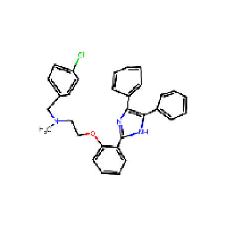 CN(CCOc1ccccc1-c1nc(-c2ccccc2)c(-c2ccccc2)[nH]1)Cc1ccc(Cl)cc1